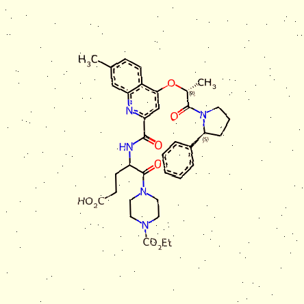 CCOC(=O)N1CCN(C(=O)C(CCC(=O)O)NC(=O)c2cc(O[C@H](C)C(=O)N3CCC[C@H]3c3ccccc3)c3ccc(C)cc3n2)CC1